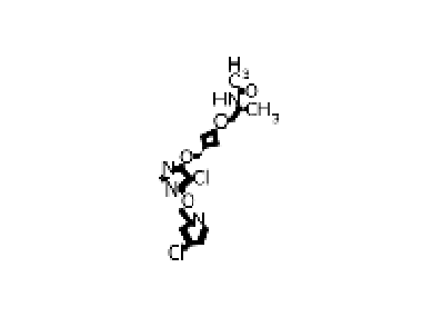 CC(=O)N[C@@H](C)CO[C@H]1C[C@H](COc2ncnc(OCc3cc(Cl)ccn3)c2Cl)C1